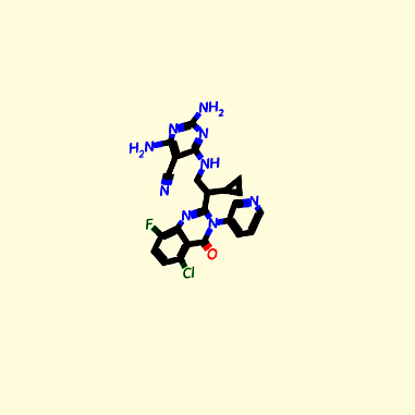 N#Cc1c(N)nc(N)nc1NCC(c1nc2c(F)ccc(Cl)c2c(=O)n1-c1cccnc1)C1CC1